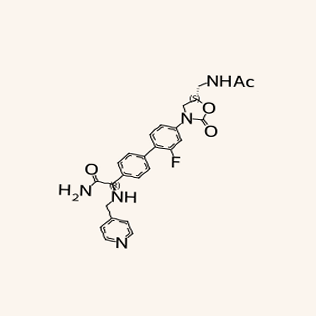 CC(=O)NC[C@H]1CN(c2ccc(-c3ccc([C@@H](NCc4ccncc4)C(N)=O)cc3)c(F)c2)C(=O)O1